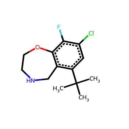 CC(C)(C)c1cc(Cl)c(F)c2c1CNCCO2